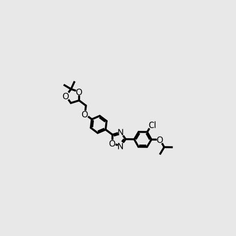 CC(C)Oc1ccc(-c2noc(-c3ccc(OCC4COC(C)(C)O4)cc3)n2)cc1Cl